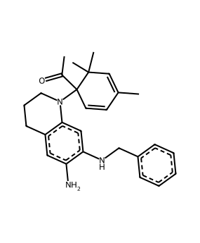 CC(=O)C1(N2CCCc3cc(N)c(NCc4ccccc4)cc32)C=CC(C)=CC1(C)C